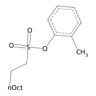 CCCCCCCCCCS(=O)(=O)Oc1ccccc1C